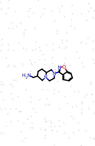 NCC1CCC2CN(c3noc4ccccc34)CCN2C1